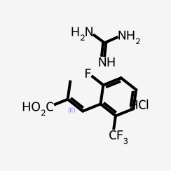 C/C(=C\c1c(F)cccc1C(F)(F)F)C(=O)O.Cl.N=C(N)N